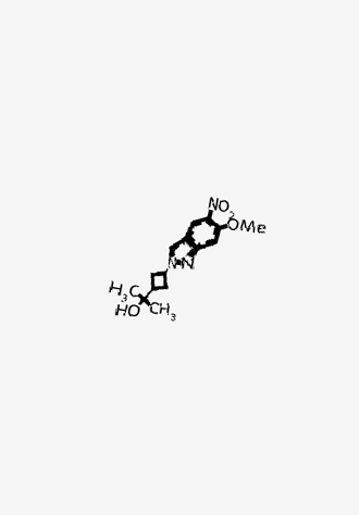 COc1cc2nn([C@H]3C[C@H](C(C)(C)O)C3)cc2cc1[N+](=O)[O-]